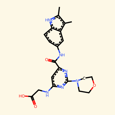 Cc1[nH]c2ccc(NC(=O)c3cc(NCC(=O)O)nc(N4CCOCC4)n3)cc2c1C